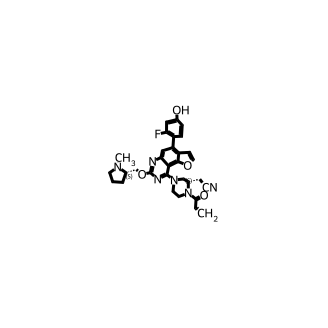 C=CC(=O)N1CCN(c2nc(OC[C@@H]3CCCN3C)nc3cc(-c4ccc(O)cc4F)c4ccoc4c23)C[C@@H]1CC#N